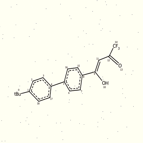 CC(C)(C)c1ccc(-c2ccc(/C(O)=C/C(=O)C(F)(F)F)cc2)cc1